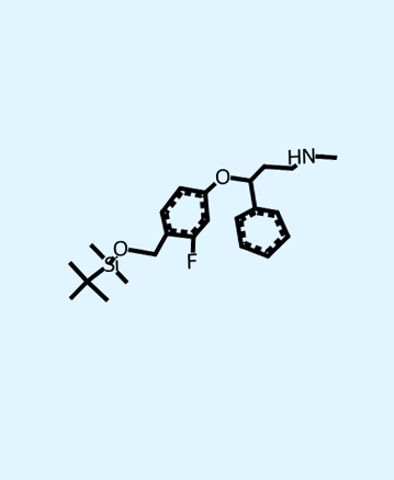 CNCCC(Oc1ccc(CO[Si](C)(C)C(C)(C)C)c(F)c1)c1ccccc1